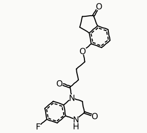 O=C1CN(C(=O)CCCOc2cccc3c2CCC3=O)c2ccc(F)cc2N1